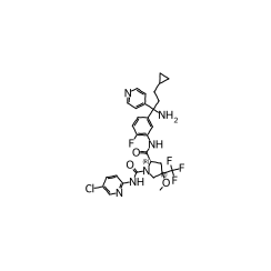 CO[C@]1(C(F)(F)F)C[C@H](C(=O)Nc2cc(C(N)(CCC3CC3)c3ccncc3)ccc2F)N(C(=O)Nc2ccc(Cl)cn2)C1